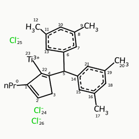 CCCC1=CCC(C(c2cc(C)cc(C)c2)c2cc(C)cc(C)c2)=[C]1[Ti+3].[Cl-].[Cl-].[Cl-]